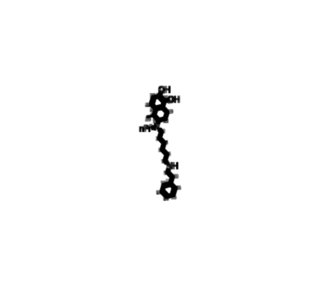 CCCN(CCCCCCNCCc1ccccc1)C1CCc2c(ccc(O)c2O)[C@@H]1C